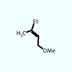 [C]OCC=C(C)CC